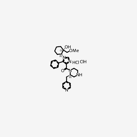 COC[C@]1(O)CCCC[C@H]1n1cnc(C(=O)N2CCNC[C@H]2Cc2ccncc2)c1-c1ccccc1.Cl.Cl